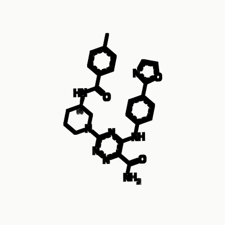 Cc1ccc(C(=O)N[C@@H]2CCCN(c3nnc(C(N)=O)c(Nc4ccc(-c5ncco5)cc4)n3)C2)cc1